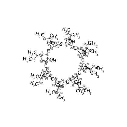 CCC(C)C1=CC2CC3=CC(C(C)CC)=CC(CC4=CC(C(C)CC)=CC(CC5C=C(C(C)CC)C=C(CC6C=C(C(C)CC)C=C(CC7=CC(C(C)CC)=CC(CC8C=C(C(C)CC)C=C(CC9C=C(C(C)CC)C=C(CC(=C1)C2O)C9O)C8O)C7O)C6O)C5O)C4O)C3O